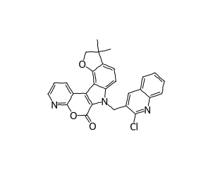 CC1(C)COc2c1ccc1c2c2c3cccnc3oc(=O)c2n1Cc1cc2ccccc2nc1Cl